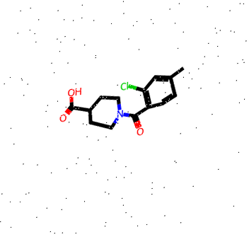 Cc1ccc(C(=O)N2CCC(C(=O)O)CC2)c(Cl)c1